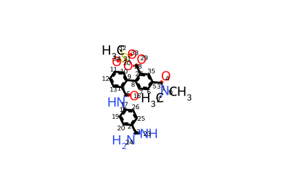 CN(C)C(=O)c1ccc(-c2ccccc2C(=O)Nc2ccc(C(=N)N)cc2)c(C(=O)OS(C)(=O)=O)c1